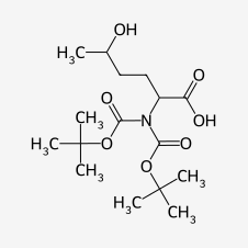 CC(O)CCC(C(=O)O)N(C(=O)OC(C)(C)C)C(=O)OC(C)(C)C